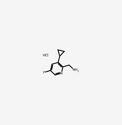 Cl.NCc1ncc(F)cc1C1CC1